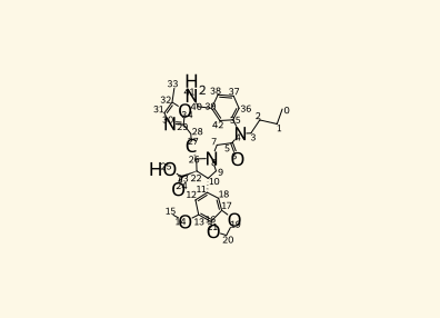 CCCCN(C(=O)CN1C[C@H](c2cc(OC)c3c(c2)OCO3)[C@@H](C(=O)O)[C@@H]1CCc1ncc(C)o1)c1cccc(CN)c1